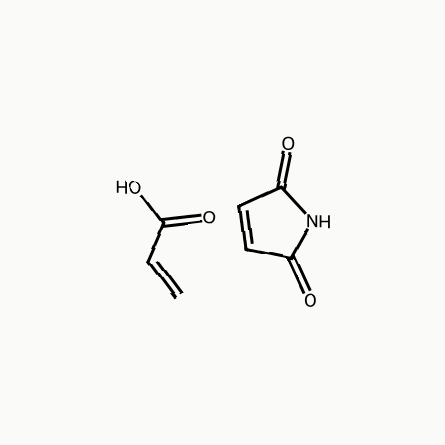 C=CC(=O)O.O=C1C=CC(=O)N1